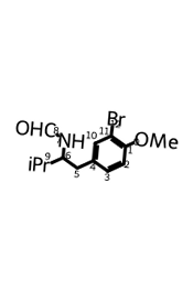 COc1ccc(CC(NC=O)C(C)C)cc1Br